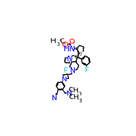 COC(=O)N[C@H]1CCC[C@@H]1[C@](CN1CCC1)(c1cccc(F)c1)C1CCN(CC2(F)CN(c3ccc(C#N)c(CN(C)C)c3)C2)CC1